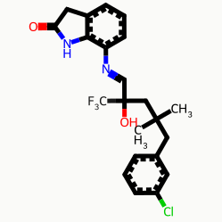 CC(C)(Cc1cccc(Cl)c1)CC(O)(C=Nc1cccc2c1NC(=O)C2)C(F)(F)F